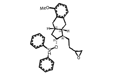 COc1cccc2c1C[C@H]1C[C@@H](O[SiH](c3ccccc3)c3ccccc3)[C@H](CCC3CO3)[C@H]1C2